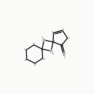 O=C1CC=CC12OC1(CCCCC1)O2